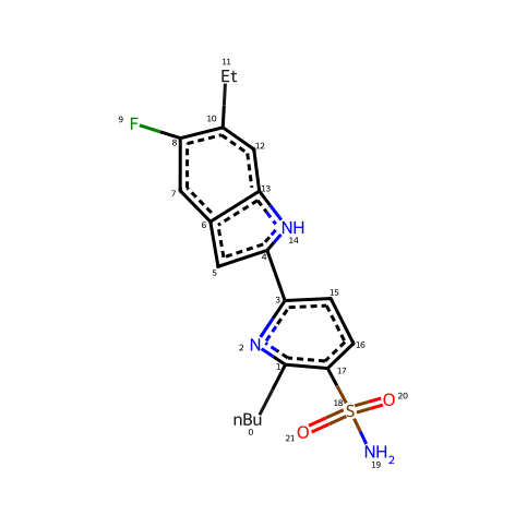 CCCCc1nc(-c2cc3cc(F)c(CC)cc3[nH]2)ccc1S(N)(=O)=O